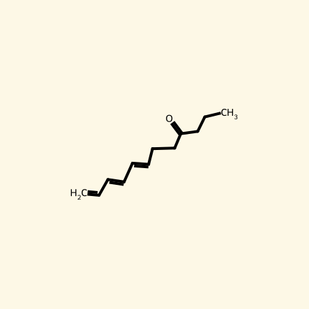 C=C/C=C/C=C/CCC(=O)CCC